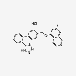 Cc1cc(OCc2ccc(-c3ccccc3-c3nnn[nH]3)cc2)c2ccncc2n1.Cl